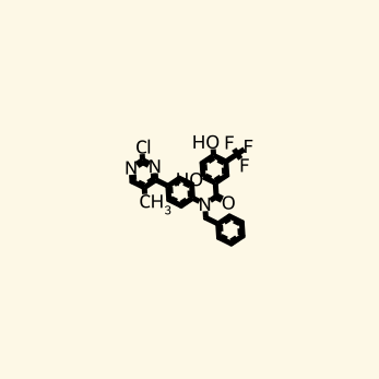 Cc1cnc(Cl)nc1-c1ccc(N(Cc2ccccc2)C(=O)c2cc(C(F)(F)F)c(O)cc2O)cc1